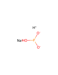 [H+].[Na+].[O-]P([O-])O